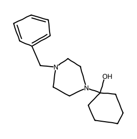 OC1(N2CCN(Cc3ccccc3)CC2)CCCCC1